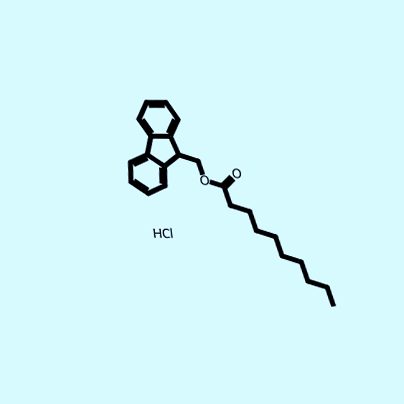 CCCCCCCCCC(=O)OCC1c2ccccc2-c2ccccc21.Cl